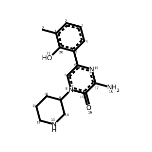 Cc1cccc(-c2cn(C3CCCNC3)c(=O)c(N)n2)c1O